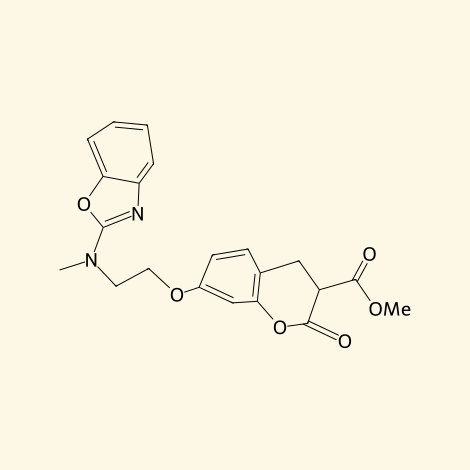 COC(=O)C1Cc2ccc(OCCN(C)c3nc4ccccc4o3)cc2OC1=O